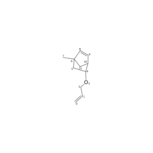 C=CCOC1CC2(C)C=CC1C2